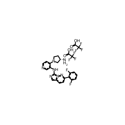 N[C@H]1CCN(c2ccncc2Nc2ncc3ccc(-c4c(F)cccc4F)nn23)C1.O=C(O)C(F)(F)F.O=C(O)C(F)(F)F